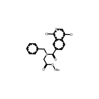 CCCCOC(=O)CN(Cc1ccccc1)C(=O)c1ccc2c(Cl)cnc(Cl)c2c1